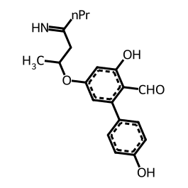 CCCC(=N)CC(C)Oc1cc(O)c(C=O)c(-c2ccc(O)cc2)c1